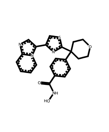 O=C(NO)c1ccc(C2(c3nc(-c4cnc5ccccn45)cs3)CCOCC2)cc1